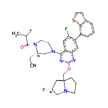 CC(F)C(=O)N1CCN(c2nc(OCC34CCCN3C[C@H](F)C4)nc3cc(-c4cccc5ccsc45)c(F)cc23)C[C@@H]1CC#N